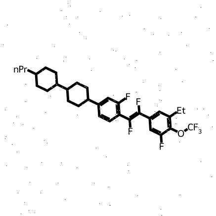 CCCC1CCC(C2CCC(c3ccc(/C(F)=C(\F)c4cc(F)c(OC(F)(F)F)c(CC)c4)c(F)c3)CC2)CC1